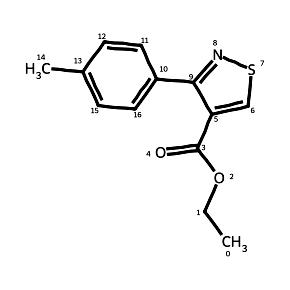 CCOC(=O)c1csnc1-c1ccc(C)cc1